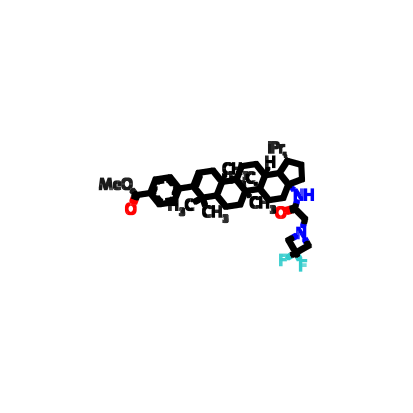 COC(=O)c1ccc(C2=CC[C@@]3(C)C(CC[C@]4(C)C3CC[C@@H]3C5[C@H](C(C)C)CC[C@]5(NC(=O)CN5CC(F)(F)C5)CC[C@]34C)C2(C)C)cc1